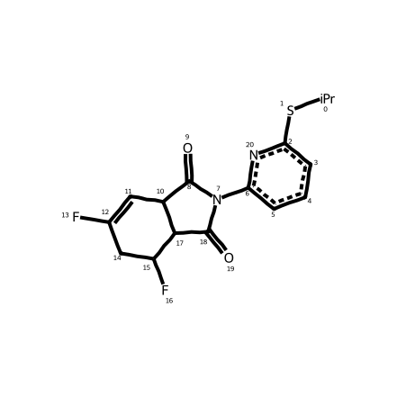 CC(C)Sc1cccc(N2C(=O)C3C=C(F)CC(F)C3C2=O)n1